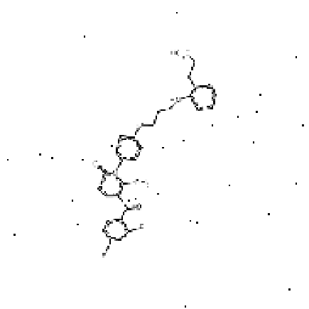 Nc1c(C(=O)c2ccc(F)cc2F)ccc(=O)n1-c1ccc(OCCCNc2ccccc2CCC(=O)O)cc1